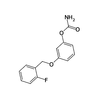 NC(=O)Oc1cccc(OCc2ccccc2F)c1